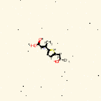 C/C(=C\C(=O)O)c1ccc(C[C@@H](C)O)s1